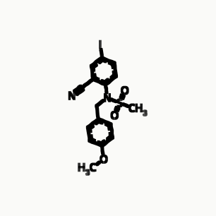 COc1ccc(CN(c2ccc(I)cc2C#N)S(C)(=O)=O)cc1